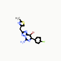 Cc1nc(Cc2nc3c(Br)c(-c4ccc(F)cc4)nc(N)n3n2)cs1